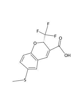 CSc1ccc2c(c1)C=C(C(=O)O)[C@@H](C(F)(F)F)O2